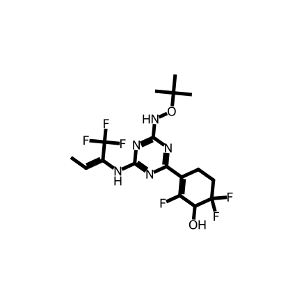 CC=C(Nc1nc(NOC(C)(C)C)nc(C2=C(F)C(O)C(F)(F)CC2)n1)C(F)(F)F